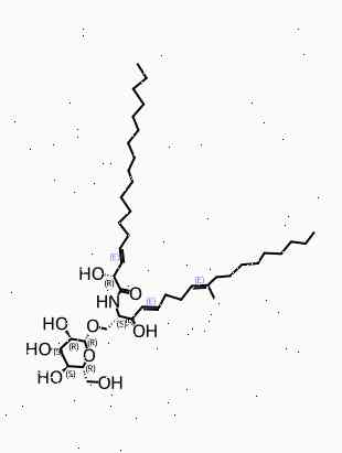 CCCCCCCCCCCCCC/C=C/[C@@H](O)C(=O)N[C@@H](CO[C@@H]1O[C@H](CO)[C@@H](O)[C@H](O)[C@H]1O)[C@H](O)/C=C/CC/C=C(\C)CCCCCCCCC